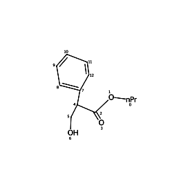 CCCOC(=O)C(CO)c1ccccc1